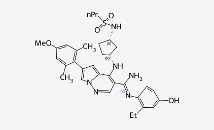 CCCS(=O)(=O)N[C@H]1CC[C@@H](Nc2c(/C(N)=N/c3ccc(O)cc3CC)cnn3cc(-c4c(C)cc(OC)cc4C)cc23)C1